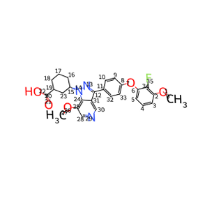 COc1cccc(Oc2ccc(-c3nn([C@@H]4CCCC(C(=O)O)C4)c4c(OC)cncc34)cc2)c1F